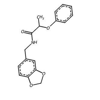 CC(Oc1ccccc1)C(=O)NCc1ccc2c(c1)OCO2